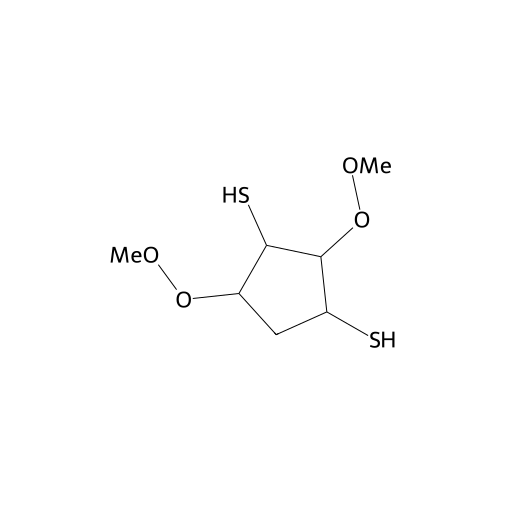 COOC1CC(S)C(OOC)C1S